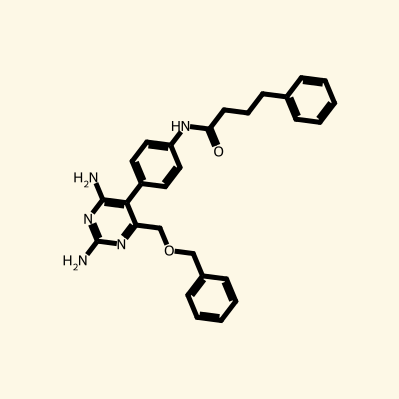 Nc1nc(N)c(-c2ccc(NC(=O)CCCc3ccccc3)cc2)c(COCc2ccccc2)n1